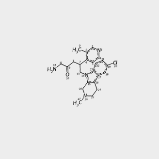 Cc1cnccc1C(CC(=O)CN)Cn1c2c(c3cc(Cl)ccc31)CCN(C)C2